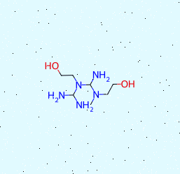 CN(CCO)C(N)N(CCO)C(N)N